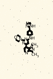 Cc1nn(C)c2c(-c3cc(Nc4ccc(-c5nnc[nH]5)cc4)nc(N4CCOCC4)n3)ccnc12